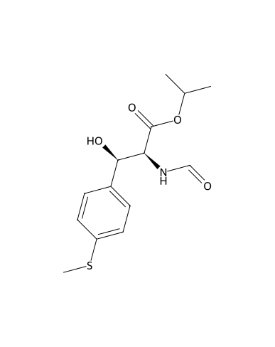 CSc1ccc([C@@H](O)[C@H](NC=O)C(=O)OC(C)C)cc1